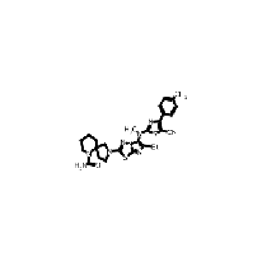 CCc1nc2sc(N3CCC4(CCCCN4C(N)=O)C3)nn2c1N(C)c1nc(-c2ccc(C)cc2)c(C#N)s1